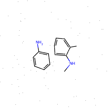 CNc1ccccc1C.Nc1ccccc1